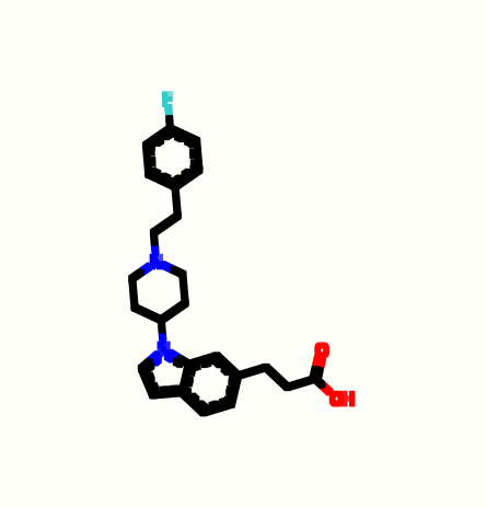 O=C(O)CCc1ccc2ccn(C3CCN(CCc4ccc(F)cc4)CC3)c2c1